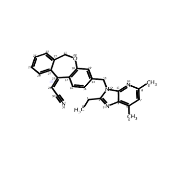 CCc1nc2c(C)cc(C)nc2n1Cc1ccc2c(c1)OCc1ccccc1/C2=C/C#N